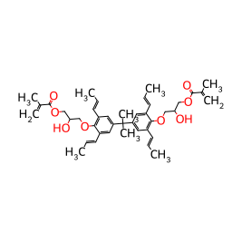 C=C(C)C(=O)OCC(O)COc1c(C=CC)cc(C(C)(C)c2cc(C=CC)c(OCC(O)COC(=O)C(=C)C)c(C=CC)c2)cc1C=CC